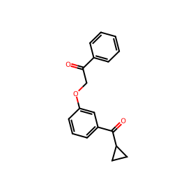 O=C(COc1cccc(C(=O)C2CC2)c1)c1ccccc1